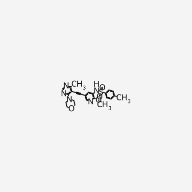 COc1ncc(C#Cc2c(C)ncnc2N2CCOCC2)cc1NS(=O)(=O)c1ccc(C)cc1